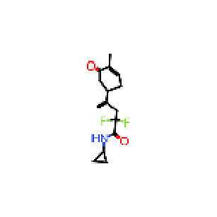 C=C(CC(F)(F)C(=O)NC1CC1)C1CC=C(C)C(=O)C1